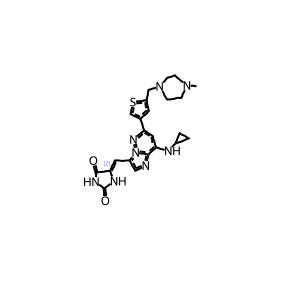 CN1CCN(Cc2cc(-c3cc(NC4CC4)c4ncc(/C=C5\NC(=O)NC5=O)n4n3)cs2)CC1